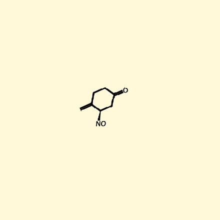 C=C1CCC(=O)C[C@H]1N=O